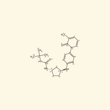 Cc1cccn(-c2ccc(N[C@H]3CC[C@H](NC(=O)OC(C)(C)C)C3)nc2)c1=O